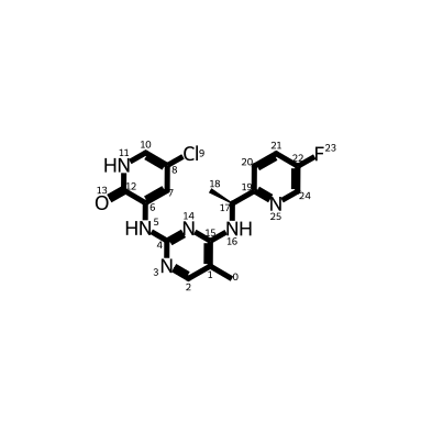 Cc1cnc(Nc2cc(Cl)c[nH]c2=O)nc1N[C@@H](C)c1ccc(F)cn1